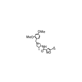 COc1ccc(CN2CC(NC(=O)c3cc(C4CC4)on3)[C@@H](C)C2)c(OC)c1